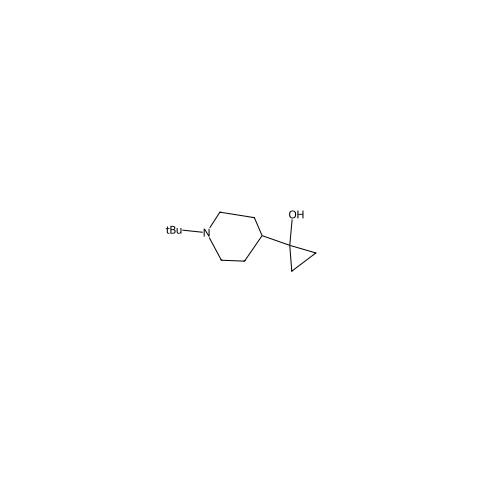 CC(C)(C)N1CCC(C2(O)CC2)CC1